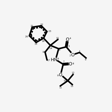 CCOC(=O)C(NC(=O)OC(C)(C)C)C(C)(CC)c1ccccc1